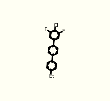 CCc1ccc(-c2ccc(-c3cc(F)c(Cl)c(F)c3)cc2)cc1